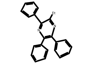 CCc1nc(-c2ccccc2)c(-c2ccccc2)nc1-c1ccccc1